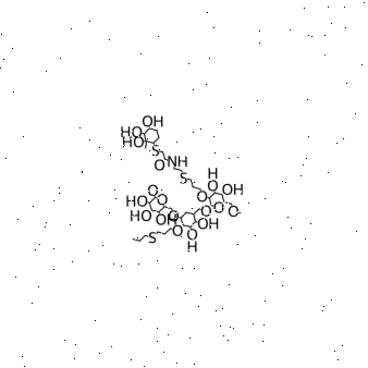 CCCSCCCOC1C(OCC2OC(OC)C(O)C(O)C2O)CC(COC2OC(COC)C(O)C(O)C2OCCCSCCNC(=O)CSC2CCC(O)C(O)C2(C)O)C(O)C1O